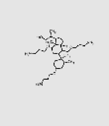 CC1C[C@H](OCCCN)CC[C@]1(C)[C@H]1C[C@H](OCCCN)C2(C)[C@@H]([C@H](C)CO)CC[C@H]2C1COCCCN